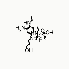 CCNCC.CCNc1ccc(NCCCO)cc1N.O=S(=O)(O)O